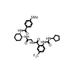 CSc1ccc(C(=O)N[C@H]2CCCC[C@H]2NC(=O)CNC(=O)c2cc(C(F)(F)F)ccc2NC(=O)NC2CCCC2)cc1